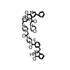 O=C(CN1CCOCC1)Nc1cc(-c2ccccc2)cnc1C(=O)N1CCC(CN2CCN(CC(=O)N3CCN(C(=O)c4cc(Cc5n[nH]c(=O)c6ccccc56)ccc4F)CC3)CC2)CC1